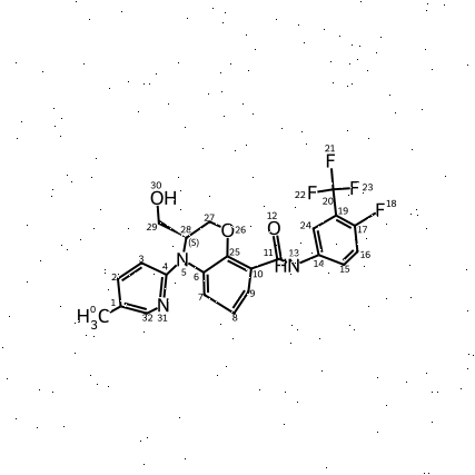 Cc1ccc(N2c3cccc(C(=O)Nc4ccc(F)c(C(F)(F)F)c4)c3OC[C@@H]2CO)nc1